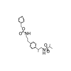 CC(CNS(=O)(=O)C(C)C)c1ccc(CCCNC(=O)OCc2ccccc2)cc1